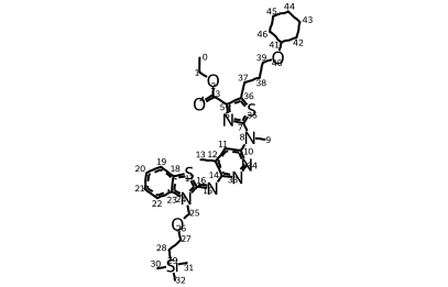 CCOC(=O)c1nc(N(C)c2cc(C)c(/N=c3\sc4ccccc4n3COCC[Si](C)(C)C)nn2)sc1CCCOC1CCCCC1